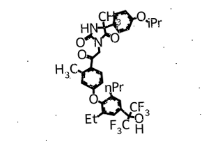 CCCc1cc(C(O)(C(F)(F)F)C(F)(F)F)cc(CC)c1Oc1ccc(C(=O)CN2C(=O)NC(C)(c3ccc(OC(C)C)cc3)C2=O)c(C)c1